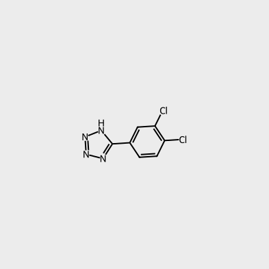 Clc1ccc(-c2nnn[nH]2)cc1Cl